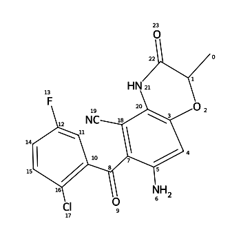 CC1Oc2cc(N)c(C(=O)c3cc(F)ccc3Cl)c(C#N)c2NC1=O